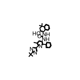 Cc1cc(NC(=O)NC2c3ccccc3C(C)(C)C[C@H]2O)c(-c2ccccc2)nc1-c1cnc(C(C)(C)C)nc1